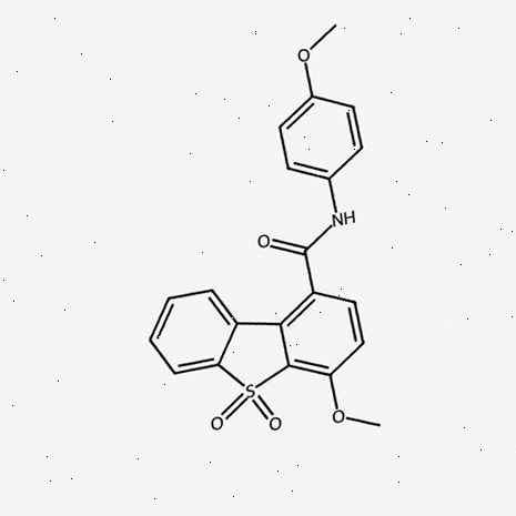 COc1ccc(NC(=O)c2ccc(OC)c3c2-c2ccccc2S3(=O)=O)cc1